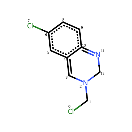 ClCN1C=c2cc(Cl)ccc2=NC1